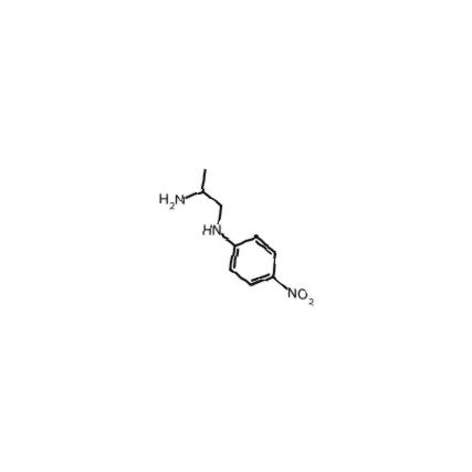 CC(N)CNc1ccc([N+](=O)[O-])cc1